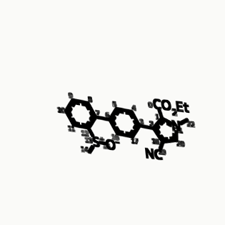 CCOC(=O)c1c(-c2ccc(-c3ccccc3[S+](C)[O-])cc2)c(C#N)cn1C